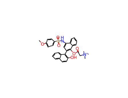 COc1ccc(S(=O)(=O)Nc2cc(-c3c(O)ccc4ccccc34)c(OC(=O)C[N+](C)(C)C)c3ccccc23)cc1